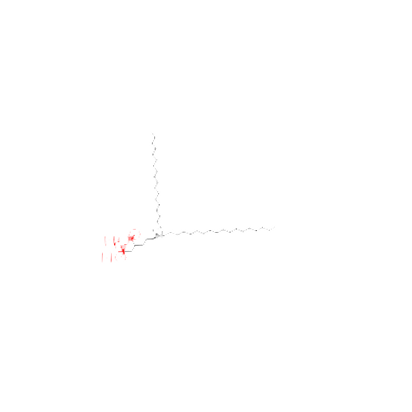 CCCCCCCCCCCCCCCCCC[Si](C)(CCCCCCCCCCCCCCCCCC)CCCC(CC(=O)O)C(=O)O